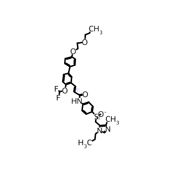 CCCOCCOc1ccc(-c2ccc(OC(F)F)c(/C=C/C(=O)Nc3ccc([S@@+]([O-])Cc4c(C)ncn4CCC)cc3)c2)cc1